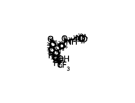 CC12C[C@H](c3ccc(C(=O)NCCCN4CCOCC4)cc3)C3=C4CCC(=O)C=C4CCC3[C@@H]1CC[C@@]2(O)C(F)(F)C(F)(F)F